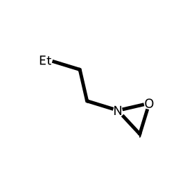 CCCCN1[CH]O1